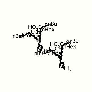 CCCCCCC(CCCCCCN(CCCCCCC(CCCCCC)(CCSSCCCC)C(=O)O)CCc1ccc(N)nc1)(CCSSCCCC)C(=O)O.CCCCCCC(CCCCCCN(CCCCCCC(CCCCCC)(CCSSCCCC)C(=O)O)CCc1ccc(N)nc1)(CCSSCCCC)C(=O)O